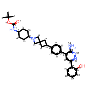 CC(C)(C)OC(=O)NC1CCC(N2CC3(CC(c4ccc(-c5cc(-c6ccccc6O)nnc5N)cc4)C3)C2)CC1